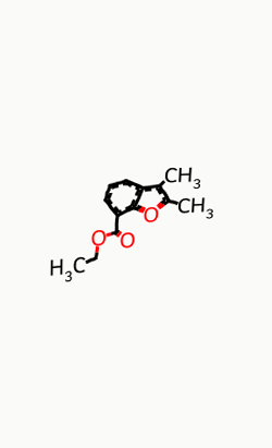 CCOC(=O)c1cccc2c(C)c(C)oc12